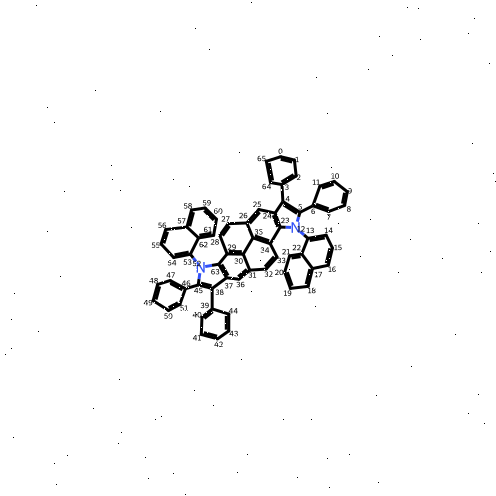 c1ccc(-c2c(-c3ccccc3)n(-c3cccc4ccccc34)c3c2cc2ccc4c5c(ccc3c25)cc2c(-c3ccccc3)c(-c3ccccc3)n(-c3cccc5ccccc35)c24)cc1